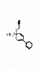 C#CCOC1(N)C=CC(c2ccccc2)=CC1